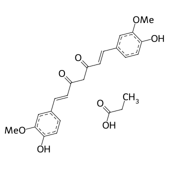 CCC(=O)O.COc1cc(/C=C/C(=O)CC(=O)/C=C/c2ccc(O)c(OC)c2)ccc1O